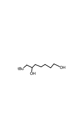 CC(C)(C)[CH]C(O)CCCCCO